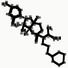 C[C@@H](C(=O)O)N(CCCC1CCCCC1)P1(=O)OC[C@H]2O[C@@H](n3ccc(N)nc3=O)[C@](C)(O)[C@@H]2O1